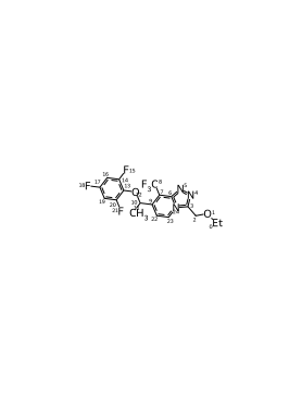 CCOCc1nnc2c(C(F)(F)F)c(C(C)Oc3c(F)cc(F)cc3F)ccn12